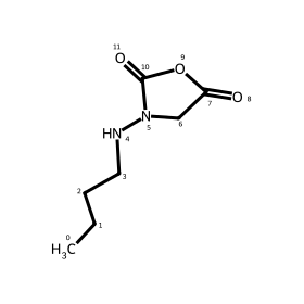 CCCCNN1CC(=O)OC1=O